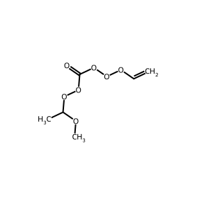 C=COOOC(=O)OOC(C)OC